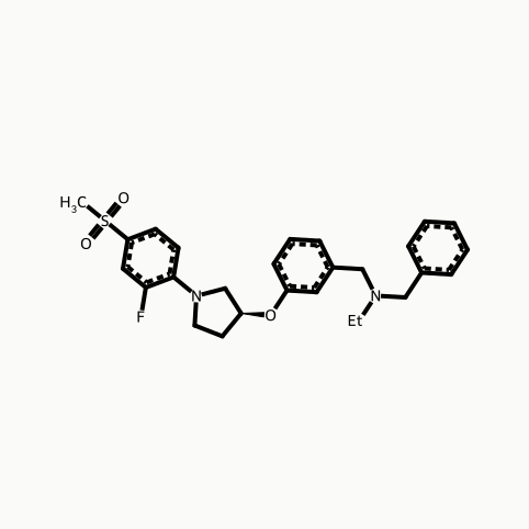 CCN(Cc1ccccc1)Cc1cccc(O[C@H]2CCN(c3ccc(S(C)(=O)=O)cc3F)C2)c1